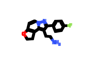 NCCc1c(-c2ccc(F)cc2)nn2ccc3c(c12)CCO3